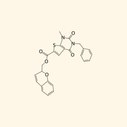 Cn1c(=O)n(Cc2ccccc2)c(=O)c2cc(C(=O)OCC3C=Cc4ccccc4O3)sc21